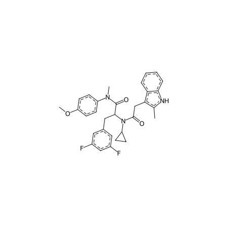 COc1ccc(N(C)C(=O)C(Cc2cc(F)cc(F)c2)N(C(=O)Cc2c(C)[nH]c3ccccc23)C2CC2)cc1